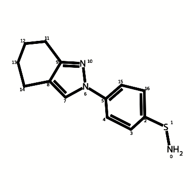 NSc1ccc(-n2cc3c(n2)CCCC3)cc1